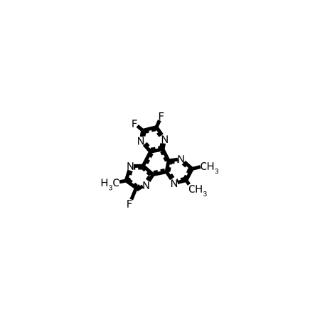 Cc1nc2c(nc1C)c1nc(F)c(F)nc1c1nc(C)c(F)nc21